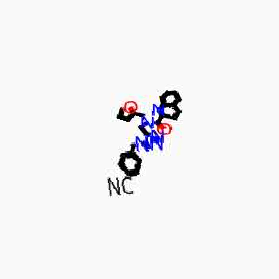 N#Cc1ccc(Cn2cnnc2CN(Cc2ccco2)C(=O)c2ccc3ccccc3n2)cc1